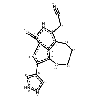 N#CCc1[nH]c(=O)c2sc(-c3cn[nH]c3)c3c2c1CCCO3